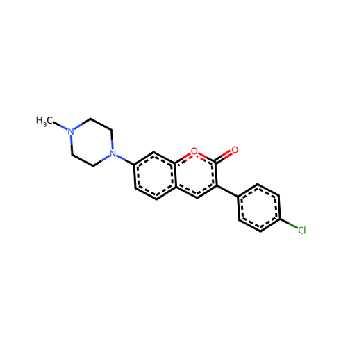 CN1CCN(c2ccc3cc(-c4ccc(Cl)cc4)c(=O)oc3c2)CC1